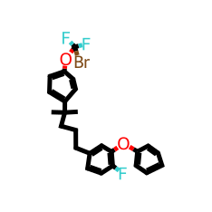 CC(C)(CCCc1ccc(F)c(Oc2ccccc2)c1)c1ccc(OC(F)(F)Br)cc1